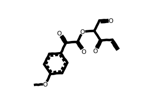 C=CC(=O)C(C=O)OC(=O)C(=O)c1ccc(OC)cc1